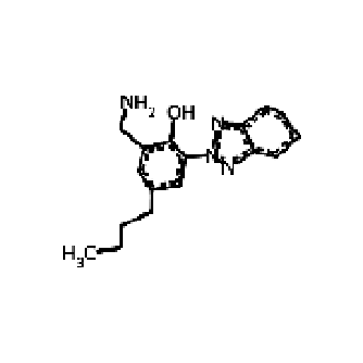 CCCCc1cc(CN)c(O)c(-n2nc3ccccc3n2)c1